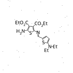 CCOC(=O)c1c(N)sc(N=Cc2ccc(N(CC)CC)s2)c1C(=O)OCC